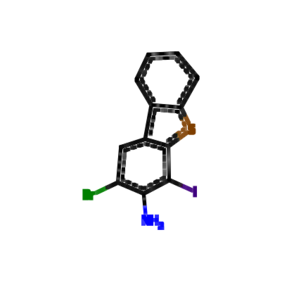 Nc1c(Br)cc2c(sc3ccccc32)c1I